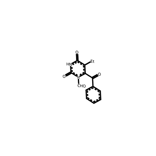 CCc1c(C(=O)c2ccccc2)n(C=O)c(=O)[nH]c1=O